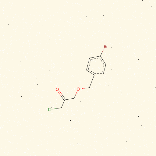 O=C(CCl)COCc1ccc(Br)cc1